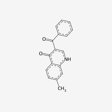 Cc1ccc2c(=O)c(C(=O)c3ccccc3)c[nH]c2c1